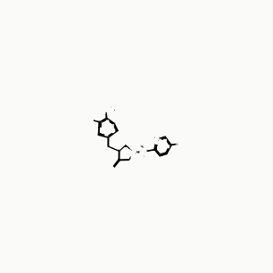 C=C1CN(S(=O)(=O)c2ccc(Cl)cn2)CC1Cc1ccc(C#N)c(F)c1